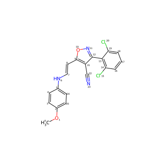 COc1ccc(N/C=C/c2onc(-c3c(Cl)cccc3Cl)c2C#N)cc1